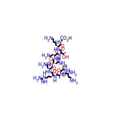 CC(C)[C@H](NC(=O)[C@@H](N)CCN)C(=O)N[C@@H](C)C(=O)N[C@@H](CCCNC(=N)N)C(=O)N[C@@H](CC(N)=O)C(=O)N[C@@H](CC(N)=O)C(=O)N[C@@H](CCN)C(=O)N[C@H](C(=O)N[C@@H](CCCCN)C(=O)NCC(=O)O)[C@@H](C)O